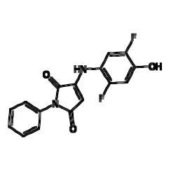 O=C1C=C(Nc2cc(F)c(O)cc2F)C(=O)N1c1ccccc1